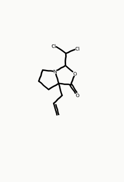 C=CCC12CCCN1C(C(Cl)Cl)OC2=O